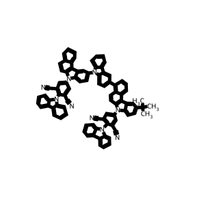 CC(C)(C)c1ccc2c(c1)c1c3cccc(-c4ccc5c(c4)c4ccccc4n5-c4ccc5c(c4)c4c6ccccc6ccc4n5-c4cc(C#N)c(-n5c6ccccc6c6ccccc65)c(C#N)c4)c3ccc1n2-c1cc(C#N)c(-n2c3ccccc3c3ccccc32)c(C#N)c1